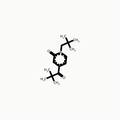 CC(C)(C)Cn1ccc(C(=O)C(C)(C)C)cc1=O